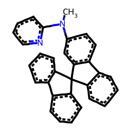 CN(c1ccc2c(c1)C1(c3ccccc3-c3ccccc31)c1ccccc1-2)c1ccccn1